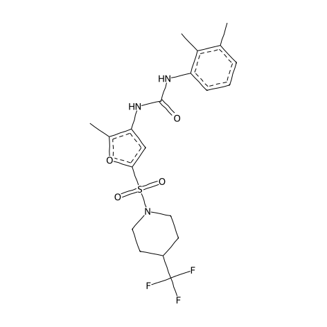 Cc1cccc(NC(=O)Nc2cc(S(=O)(=O)N3CCC(C(F)(F)F)CC3)oc2C)c1C